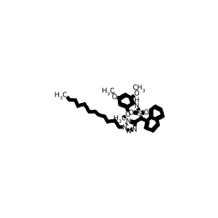 CCCCCCCCCCCCn1nnc(C(c2cccc3ccccc23)S(=O)(=O)Nc2c(OC)cc(OC)cc2OC)n1